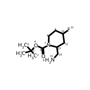 CC(C)(C)OC(=O)N1CCC(F)CC1CN